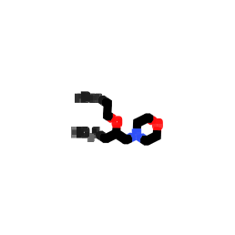 CCCCCCCCCCCCOC(CN1CCOCC1)CS(=O)(=O)O